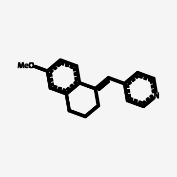 COc1ccc2c(c1)CCCC2=Cc1ccncc1